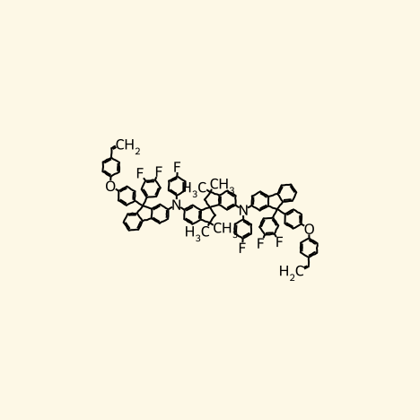 C=Cc1ccc(Oc2ccc(C3(c4ccc(F)c(F)c4)c4ccccc4-c4ccc(N(c5ccc(F)cc5)c5ccc6c(c5)C5(CC6(C)C)CC(C)(C)c6ccc(N(c7ccc(F)cc7)c7ccc8c(c7)C(c7ccc(Oc9ccc(C=C)cc9)cc7)(c7ccc(F)c(F)c7)c7ccccc7-8)cc65)cc43)cc2)cc1